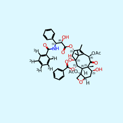 [2H]c1c([2H])c([2H])c(C(=O)N[C@@H](c2ccccc2)[C@@H](O)C(=O)O[C@H]2C[C@@]3(O)[C@@H](OC(=O)c4ccccc4)[C@@H]4[C@]5(OC(C)=O)CO[C@@H]5C[C@H](O)[C@@]4(C)C(=O)[C@H](OC(C)=O)C(=C2C)C3(C)C)c([2H])c1[2H]